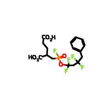 O=C(O)CCC(CP(=O)(F)OC(F)(F)CC(F)(F)Cc1ccccc1)C(=O)O